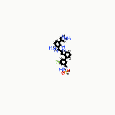 CS(=O)(=O)NCc1cc(F)cc(-c2cccc3[nH]c(-c4n[nH]c5ccc(-c6cn[nH]c6)cc45)cc23)c1